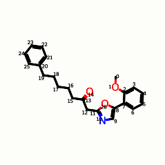 COc1ccccc1-c1cnc(CC(=O)CCCCCc2ccccc2)o1